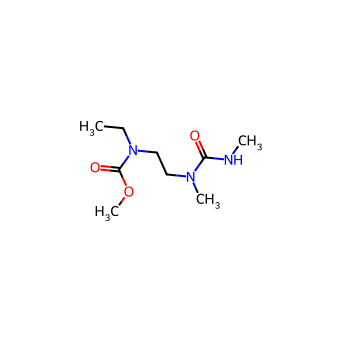 CCN(CCN(C)C(=O)NC)C(=O)OC